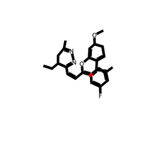 CCC/C=C(/C=C\C1=NN=C(C)CC1CC)OC1=CC(OC)CC=C1c1ccc(F)cc1